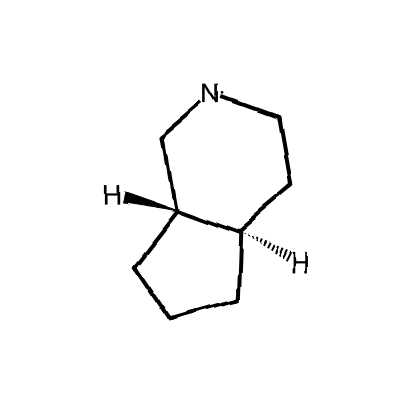 C1C[C@@H]2CC[N]C[C@H]2C1